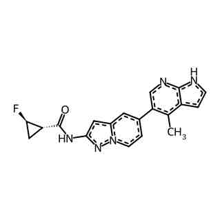 Cc1c(-c2ccn3nc(NC(=O)[C@@H]4C[C@H]4F)cc3c2)cnc2[nH]ccc12